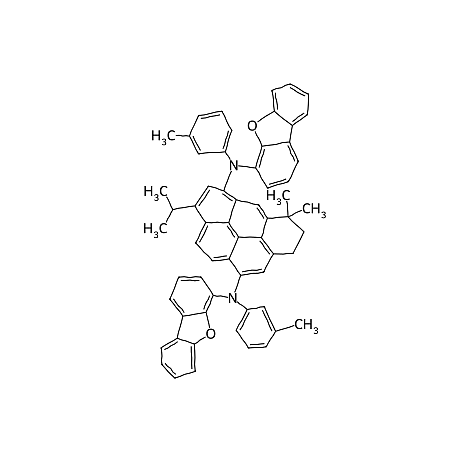 Cc1cccc(N(c2cc(C(C)C)c3ccc4c(N(c5cccc(C)c5)c5cccc6c5oc5ccccc56)cc5c6c(cc2c3c46)C(C)(C)CC5)c2cccc3c2oc2ccccc23)c1